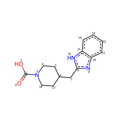 O=C(O)N1CCC(Cc2nc3ccccc3[nH]2)CC1